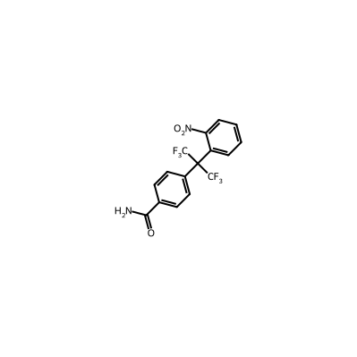 NC(=O)c1ccc(C(c2ccccc2[N+](=O)[O-])(C(F)(F)F)C(F)(F)F)cc1